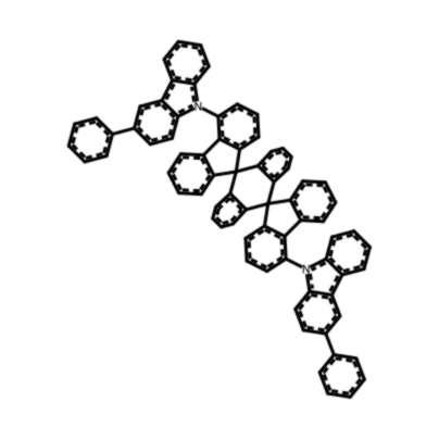 c1ccc(-c2ccc3c(c2)c2ccccc2n3-c2cccc3c2-c2ccccc2C32c3ccccc3C3(c4ccccc4-c4c(-n5c6ccccc6c6cc(-c7ccccc7)ccc65)cccc43)c3ccccc32)cc1